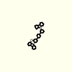 c1cc(-c2ccc(-c3ccc4c(c3)Oc3cccc5c6ccccc6n-4c35)cc2)cc(-n2c3ccccc3c3ccccc32)c1